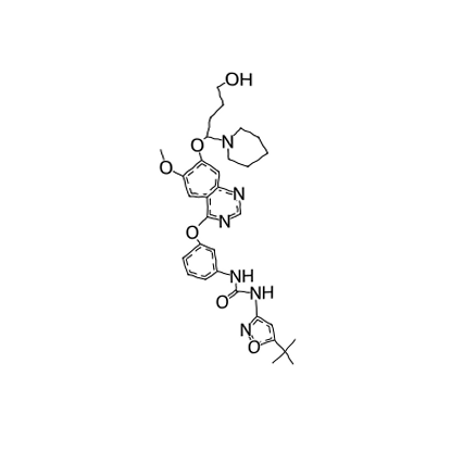 COc1cc2c(Oc3cccc(NC(=O)Nc4cc(C(C)(C)C)on4)c3)ncnc2cc1OC(CCCO)N1CCCCC1